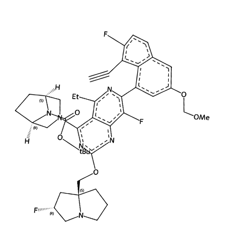 C#Cc1c(F)ccc2cc(OCOC)cc(-c3nc(CC)c4c(N5C[C@H]6CC[C@@H](C5)N6C(=O)OC(C)(C)C)nc(OC[C@@]56CCCN5C[C@H](F)C6)nc4c3F)c12